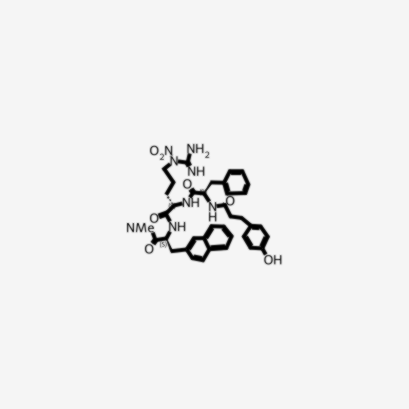 CNC(=O)[C@H](Cc1ccc2ccccc2c1)NC(=O)[C@H](CCCN(C(=N)N)[N+](=O)[O-])NC(=O)[C@@H](Cc1ccccc1)NC(=O)CCc1ccc(O)cc1